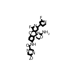 COc1cnc(C(=O)Nc2ccc3c(c2)[C@@]2(CCOC(N)=N2)c2cc(-c4ccnc(F)c4)nc(F)c2O3)cn1